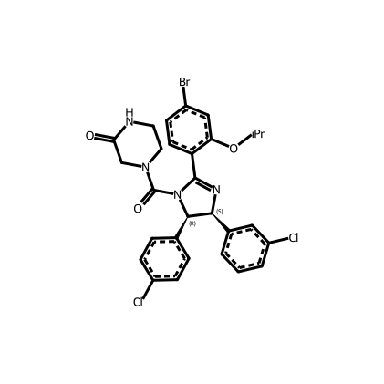 CC(C)Oc1cc(Br)ccc1C1=N[C@@H](c2cccc(Cl)c2)[C@@H](c2ccc(Cl)cc2)N1C(=O)N1CCNC(=O)C1